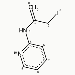 C=C(CI)Nc1ccccn1